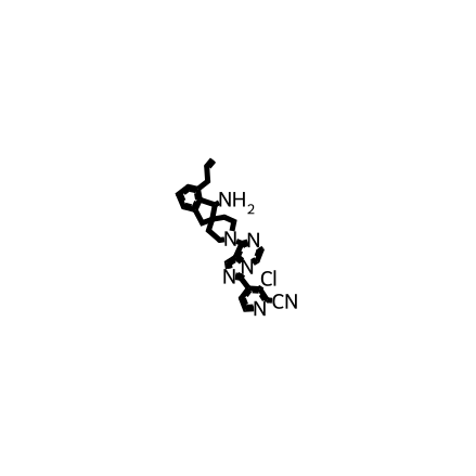 C=CCc1cccc2c1C(N)C1(CCN(c3nccn4c(-c5ccnc(C#N)c5Cl)ncc34)CC1)C2